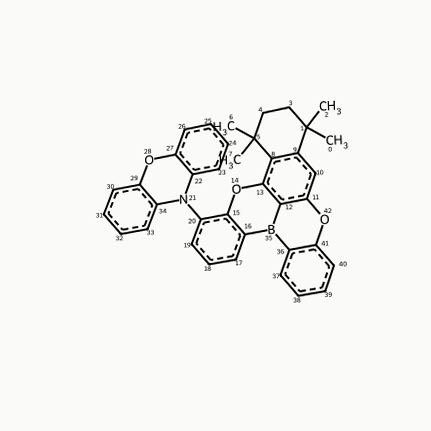 CC1(C)CCC(C)(C)c2c1cc1c3c2Oc2c(cccc2N2c4ccccc4Oc4ccccc42)B3c2ccccc2O1